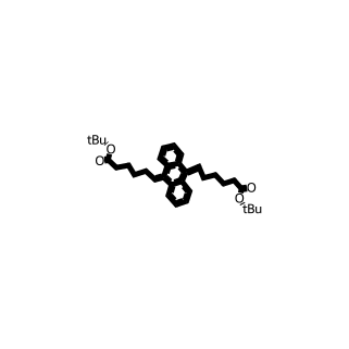 CC(C)(C)OC(=O)CCCCC=c1c2ccccc2c(=CCCCCC(=O)OC(C)(C)C)c2ccccc12